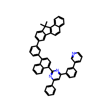 CC1(C)c2ccc(-c3cccc(-c4ccc(-c5nc(-c6ccccc6)cc(-c6cccc(-c7cccnc7)c6)n5)c5ccccc45)c3)cc2-c2ccc3ccccc3c21